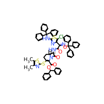 Cc1nc(SC2=C(C(=O)OC(c3ccccc3)c3ccccc3)N3C(=O)[C@@H](NC(=O)/C(=N\OC(c4ccccc4)(c4ccccc4)c4ccccc4)c4nc(NC(c5ccccc5)(c5ccccc5)c5ccccc5)sc4Cl)[C@H]3CC2)sc1C